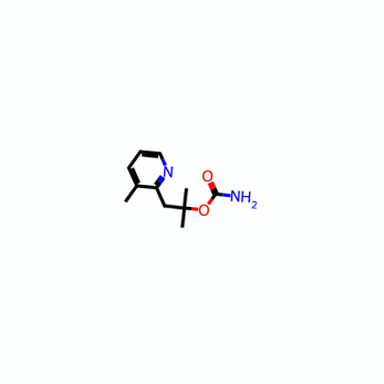 Cc1cccnc1CC(C)(C)OC(N)=O